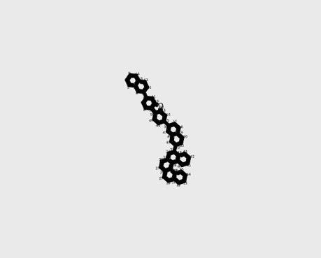 c1ccc2cc(-c3ccc4c(c3)oc3cc(-c5ccc6ccc(-c7cc8ccc9ccc%10ccccc%10c9c8c8ccccc78)cc6c5)ccc34)ccc2c1